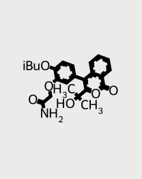 CC(C)COc1ccc(-c2c(C(C)(C)O)oc(=O)c3ccccc23)cc1OCC(N)=O